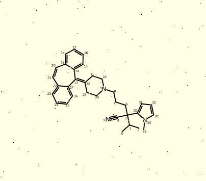 CC(C)C(C#N)(CCCN1CCC(=C2c3ccccc3C=Cc3ccccc32)CC1)c1cccn1C